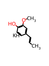 C/C=C/c1ccc(O)c(OC)c1.[KH]